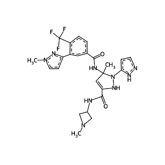 CN1CC(NC(=O)C2=CC(C)(NC(=O)c3ccc(C(F)(F)F)c(-c4ccn(C)n4)c3)N(c3ccn[nH]3)N2)C1